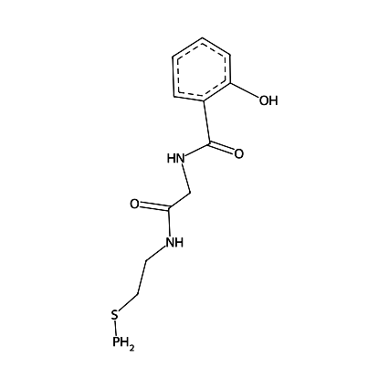 O=C(CNC(=O)c1ccccc1O)NCCSP